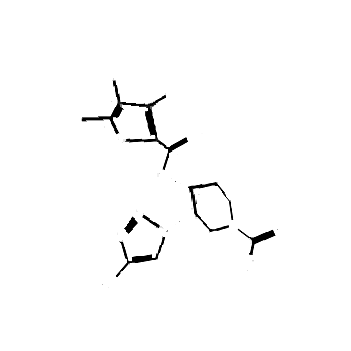 Cc1cn([C@H]2CN(C(=O)O)CC[C@H]2NC(=O)c2[nH]c(C)c(Cl)c2Cl)nn1